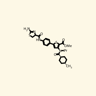 COC(=O)c1sc(-c2ccc(NC(=O)C3CSC(N)=N3)cc2)cc1N(C(=O)[C@H]1CC[C@H](C)CC1)C(C)C